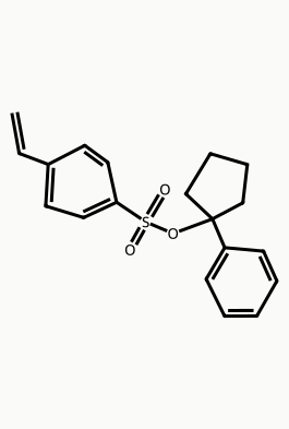 C=Cc1ccc(S(=O)(=O)OC2(c3ccccc3)CCCC2)cc1